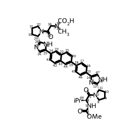 COC(=O)N[C@H](C(=O)N1CCC[C@H]1c1nc(-c2ccc(-c3ccc4cc(-c5cnc([C@@H]6CCCN6C(=O)CN(C)C(=O)O)[nH]5)ccc4c3)cc2)c[nH]1)C(C)C